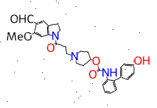 COc1cc2c(cc1C=O)CCN2C(=O)CCN1CCC(OC(=O)Nc2ccccc2-c2ccc(O)cc2)CC1